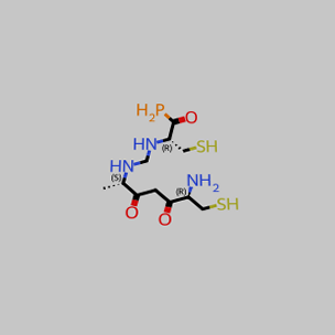 C[C@H](NCN[C@@H](CS)C(=O)P)C(=O)CC(=O)[C@@H](N)CS